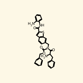 Nc1ccccc1NC(=O)c1cc2ccc(CN(C(=O)OCc3ccccc3)C(=O)C(N)Cc3ccccc3)cc2s1